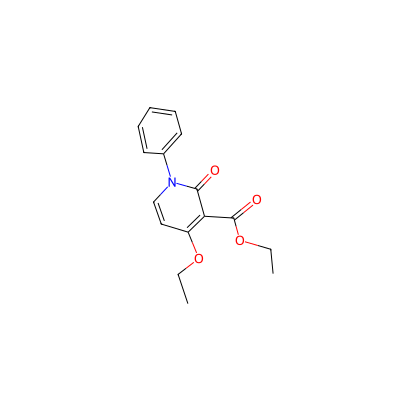 CCOC(=O)c1c(OCC)ccn(-c2ccccc2)c1=O